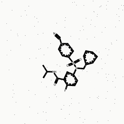 CC(C)NC(=O)c1cc(N(Cc2ccccc2)S(=O)(=O)c2ccc(C#N)cc2)ccc1F